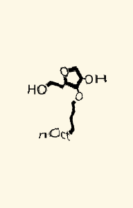 CCCCCCCCCCCCO[C@@H]1[C@@H](O)CO[C@@H]1CCO